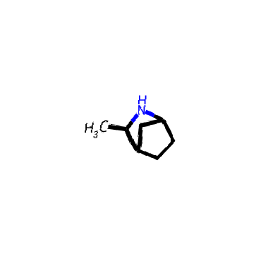 CC1NC2CCC1C2